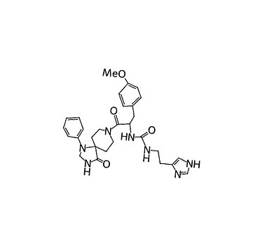 COc1ccc(CC(NC(=O)NCCc2c[nH]cn2)C(=O)N2CCC3(CC2)C(=O)NCN3c2ccccc2)cc1